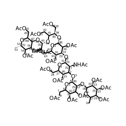 CC(=O)N[C@H]1C(O[C@@H]2OC(COC(C)=O)[C@H](OC(C)=O)C(OC(C)=O)[C@@H]2O[C@@H]2OC(C)C(OC(C)=O)[C@H](OC(C)=O)[C@@H]2OC(C)=O)[C@@H](OC(C)=O)C(COC(C)=O)O[C@H]1O[C@@H]1C(OC(C)=O)[C@@H](O[C@H](COC(C)=O)C(COC(C)=O)O[C@@H](O[C@@H]2C(COC(C)=O)O[C@@H](C)C(OC(C)=O)[C@H]2OC(C)=O)[C@H](C)OC(C)=O)OC(COC(C)=O)[C@@H]1OC(C)=O